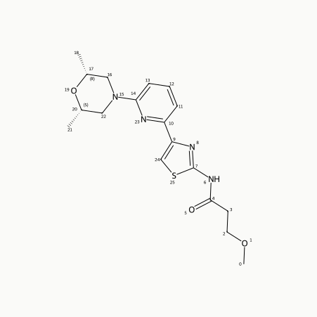 COCCC(=O)Nc1nc(-c2cccc(N3C[C@@H](C)O[C@@H](C)C3)n2)cs1